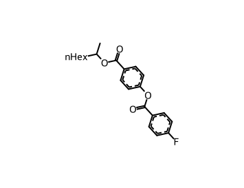 CCCCCCC(C)OC(=O)c1ccc(OC(=O)c2ccc(F)cc2)cc1